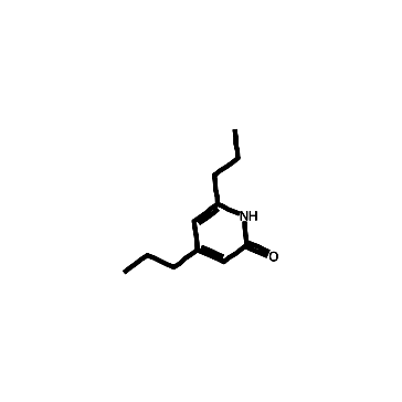 CCCc1cc(CCC)[nH]c(=O)c1